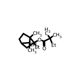 CCC(C)(C)C(=O)OC1(CC)CC2CCC1(C)C2(C)C